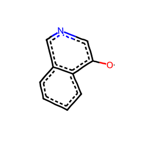 [O]c1cncc2ccccc12